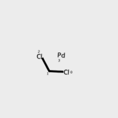 ClCCl.[Pd]